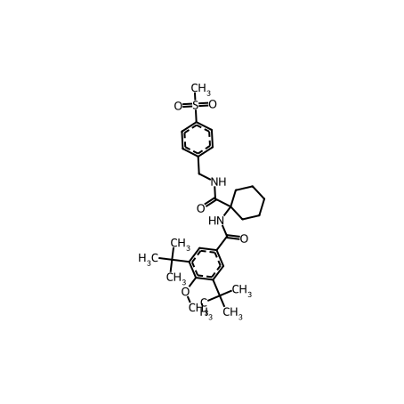 COc1c(C(C)(C)C)cc(C(=O)NC2(C(=O)NCc3ccc(S(C)(=O)=O)cc3)CCCCC2)cc1C(C)(C)C